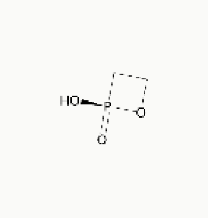 O=[P@]1(O)CCO1